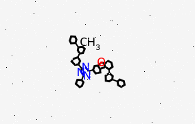 Cc1ccc(-c2cccc(-c3nc(-c4ccccc4)nc(-c4ccc5c(c4)oc4cccc(-c6cccc(-c7ccccc7)c6)c45)n3)c2)cc1-c1ccccc1